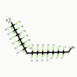 CC(C)CC(F)(F)C(F)(F)C(F)(F)C(F)(F)C(F)(F)C(F)(F)C(F)(F)CC(F)(F)C(F)(F)C(F)(F)C(F)(F)C(F)(F)C(F)(F)C(F)(F)F